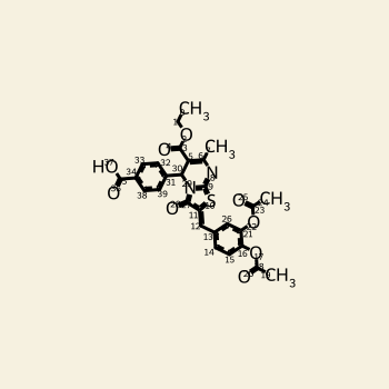 CCOC(=O)C1=C(C)N=c2s/c(=C\c3ccc(OC(C)=O)c(OC(C)=O)c3)c(=O)n2C1c1ccc(C(=O)O)cc1